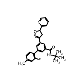 Cc1ccc(-c2cc(C(=O)NC(C)(C)C)cc(C3=NOC(c4ccccn4)C3)c2)c(F)c1